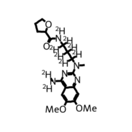 [2H]N([2H])c1nc(N(C)C([2H])([2H])C([2H])([2H])C([2H])([2H])N([2H])C(=O)C2CCCO2)nc2cc(OC)c(OC)cc12